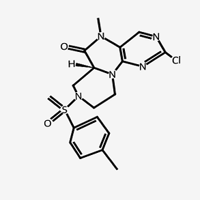 C=S(=O)(c1ccc(C)cc1)N1CCN2c3nc(Cl)ncc3N(C)C(=O)[C@H]2C1